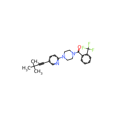 CC(C)(C)C#Cc1ccc(N2CCN(C(=O)c3ccccc3C(F)(F)F)CC2)nc1